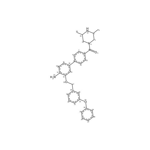 CC1CN(C(=O)c2ccc(-c3cnc(N)c(OCc4cccc(Oc5ccccc5)c4)c3)cc2)CC(C)N1